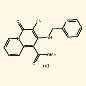 COC(=O)c1c(NCc2ccccn2)c(C#N)c(=O)n2ccccc12.Cl